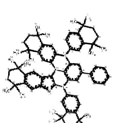 CC1(C)CCC(C)(C)c2cc(N3c4cc5c(cc4B4c6c3cc(-c3ccccc3)cc6N(c3ccc6c(c3)C(C)(C)CCC6(C)C)c3oc6cc7c(cc6c34)C(C)(C)CCC7(C)C)C(C)(C)CCC5(C)C)ccc21